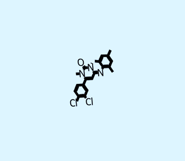 Cc1cc(C)c(/N=c2/cc(-c3ccc(Cl)c(Cl)c3)n(C)c(=O)n2C)c(C)c1